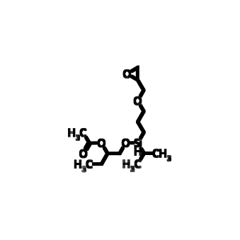 CCC(CO[SiH](CCCOCC1CO1)C(C)C)OC(C)=O